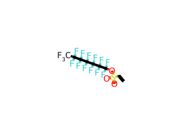 C=CS(=O)(=O)OC(F)(F)C(F)(F)C(F)(F)C(F)(F)C(F)(F)C(F)(F)C(F)(F)F